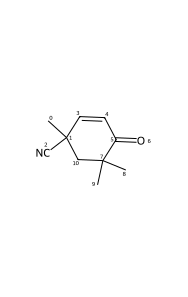 CC1(C#N)C=CC(=O)C(C)(C)C1